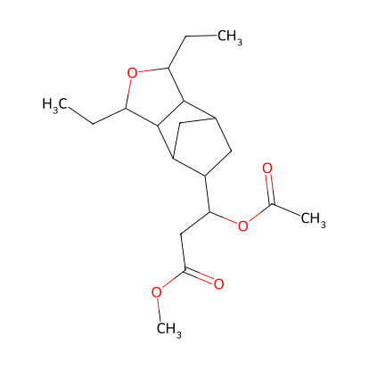 CCC1OC(CC)C2C3CC(CC3C(CC(=O)OC)OC(C)=O)C12